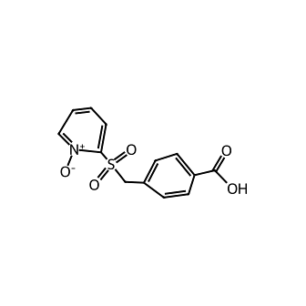 O=C(O)c1ccc(CS(=O)(=O)c2cccc[n+]2[O-])cc1